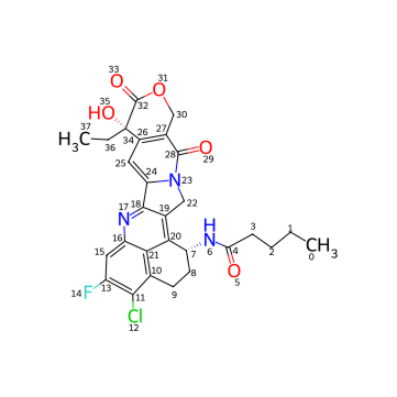 CCCCC(=O)N[C@@H]1CCc2c(Cl)c(F)cc3nc4c(c1c23)Cn1c-4cc2c(c1=O)COC(=O)[C@]2(O)CC